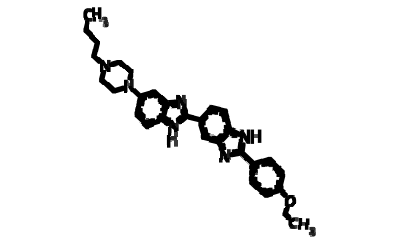 CCCCN1CCN(c2ccc3[nH]c(-c4ccc5[nH]c(-c6ccc(OCC)cc6)nc5c4)nc3c2)CC1